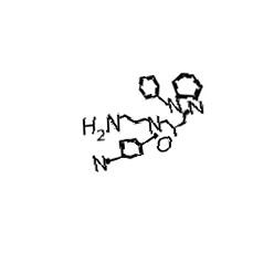 CC(Cc1nc2ccccc2n1Cc1ccccc1)CN(CCCN)C(=O)c1ccc(C#N)cc1